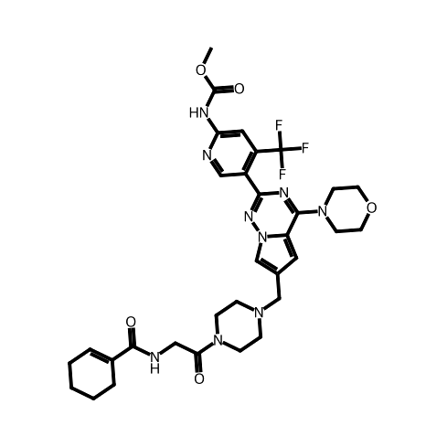 COC(=O)Nc1cc(C(F)(F)F)c(-c2nc(N3CCOCC3)c3cc(CN4CCN(C(=O)CNC(=O)C5=CCCCC5)CC4)cn3n2)cn1